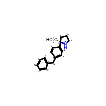 O=C(O)[C@]1(c2ccc(Cc3ccccc3)cc2)CCCN1